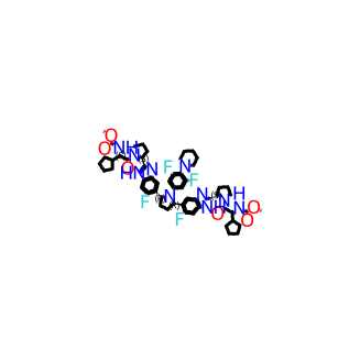 COC(=O)NC(C(=O)N1CCC[C@H]1c1nc2cc([C@H]3CC[C@H](c4cc5nc([C@@H]6CCCN6C(=O)[C@@H](NC(=O)OC)C6CCCC6)[nH]c5cc4F)N3c3cc(F)c(N4CCCCC4)c(F)c3)c(F)cc2[nH]1)C1CCCC1